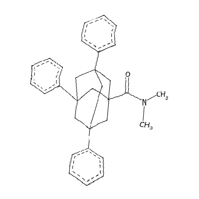 CN(C)C(=O)C12CC3(c4ccccc4)CC(c4ccccc4)(C1)CC(c1ccccc1)(C2)C3